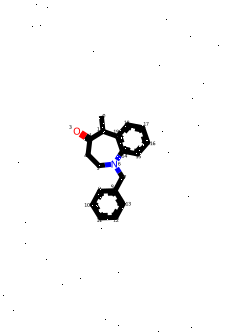 CC1C(=O)CCN(Cc2ccccc2)c2ccccc21